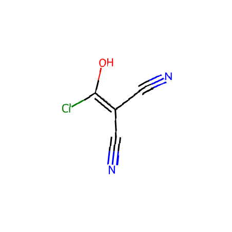 N#CC(C#N)=C(O)Cl